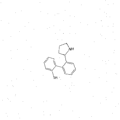 Sc1ccccc1-c1ccccc1C1CCCN1